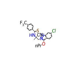 CCCOc1c2ccc(Cl)cc2nn1CC(C)(C#N)NC(=S)c1ccc(C(F)(F)F)cc1